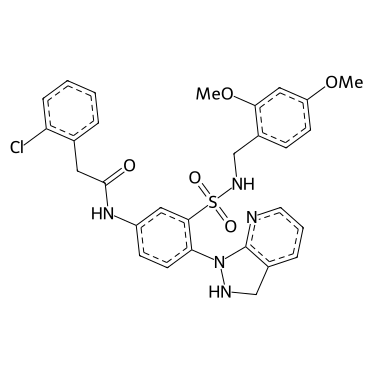 COc1ccc(CNS(=O)(=O)c2cc(NC(=O)Cc3ccccc3Cl)ccc2N2NCc3cccnc32)c(OC)c1